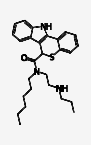 CCCCCCN(CCNCCC)C(=O)C1Sc2ccccc2-c2[nH]c3ccccc3c21